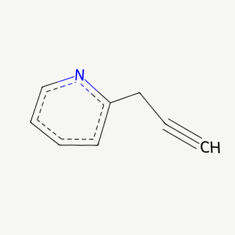 C#CCc1ccccn1